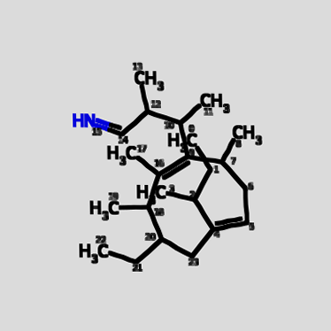 CCC(C)/C1=C\CC(C)/C(C(C)C(C)C=N)=C(/C)C(C)C(CC)C1